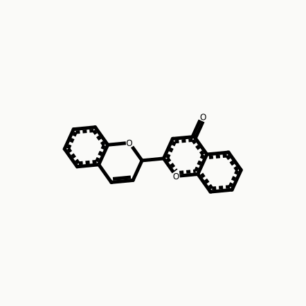 O=c1cc(C2C=Cc3ccccc3O2)oc2ccccc12